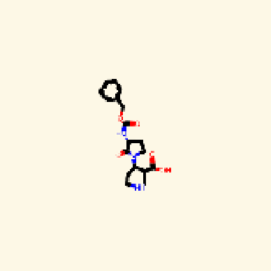 O=C(N[C@H]1CCN(C2CCNCC2C(=O)O)C1=O)OCc1ccccc1